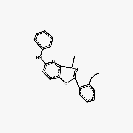 COc1ccccc1C1=NN(C)c2nc(Nc3ccccc3)ncc2O1